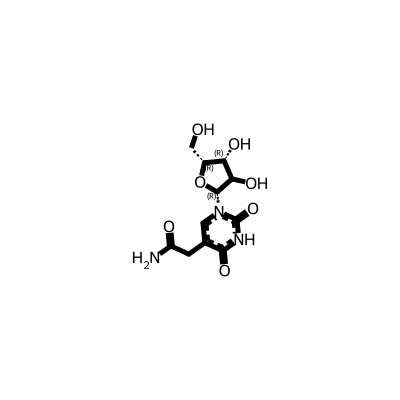 NC(=O)Cc1cn([C@@H]2O[C@H](CO)[C@H](O)C2O)c(=O)[nH]c1=O